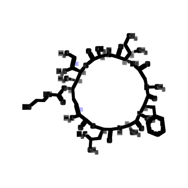 C/C=C(\C)[C@H]1OC(=O)[C@@H](C)NC(=O)[C@H]([C@@H](C)CC)NC(=O)CN(C)C(=O)[C@@H](Cc2ccccc2)N(C)C(=O)[C@H](C)NC(=O)[C@@H](CC(C)C)OC(=O)/C(C)=C/C[C@H](OC(=O)NCCO)[C@@H]1C